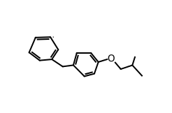 CC(C)COc1ccc(Cc2c[c]ccc2)cc1